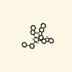 c1ccc(-c2cccc(-c3nc(-c4ccc5c(c4)sc4ccccc45)nc(-c4ccc5ccccc5c4-n4c5ccccc5c5cc6ccccc6cc54)n3)c2)cc1